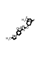 Cc1ccn(-c2ccc(-c3nnc(OC4CC5NC(C)(C4)C(F)CC5F)s3)c(O)c2)n1